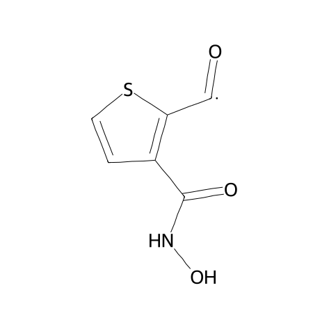 O=[C]c1sccc1C(=O)NO